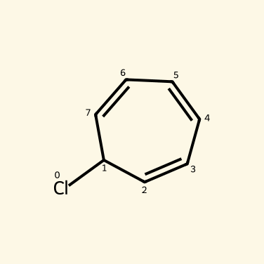 ClC1C=CC=CC=C1